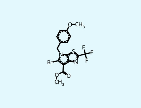 COC(=O)c1c(Br)n(Cc2ccc(OC)cc2)c2sc(C(F)(F)F)nc12